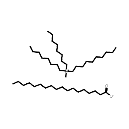 CCCCCCCCCCCCCCCCCC(=O)[O-].CCCCCCCCCC[N+](C)(CCCCCCCC)CCCCCCCC